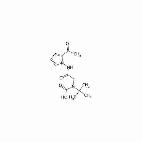 CC(=O)c1cccn1NC(=O)CN(C(=O)O)C(C)(C)C